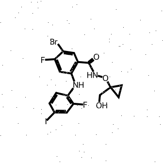 O=C(NOC1(CO)CC1)c1cc(Br)c(F)cc1Nc1ccc(I)cc1F